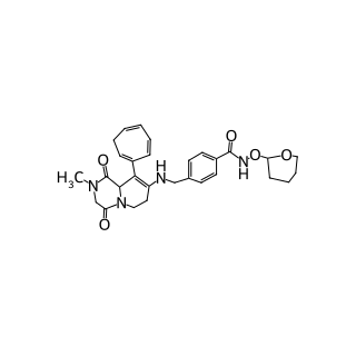 CN1CC(=O)N2CCC(NCc3ccc(C(=O)NOC4CCCCO4)cc3)=C(C3=CCC=CC=C3)C2C1=O